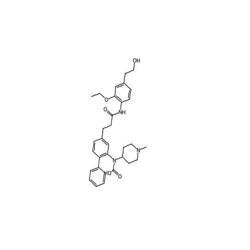 CCOc1cc(CCO)ccc1NC(=O)CCc1ccc(-c2ccccc2)c(N(C(=O)O)C2CCN(C)CC2)c1